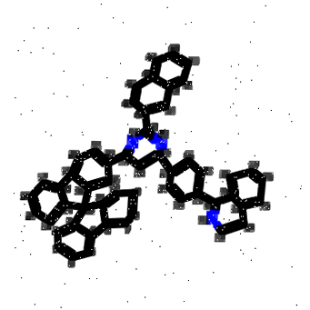 c1ccc2c(c1)-c1ccccc1C21c2ccccc2-c2ccc(-c3cc(-c4ccc(-c5nccc6ccccc56)cc4)nc(-c4ccc5ccccc5c4)n3)cc21